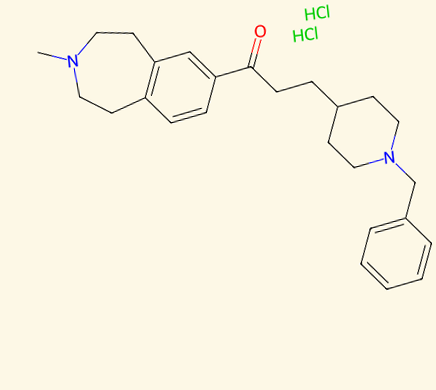 CN1CCc2ccc(C(=O)CCC3CCN(Cc4ccccc4)CC3)cc2CC1.Cl.Cl